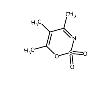 CC1=NS(=O)(=O)OC(C)=C1C